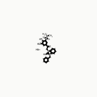 Br.CN(C)S(=O)(=O)c1cc(C(=O)Cn2c(=N)n(Cc3ccccc3)c3ccccc32)cc(C(C)(C)C)c1O